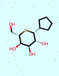 OC[C@@H]1S[C@H](C2C[CH]CC2)[C@H](O)[C@@H](O)[C@H]1O